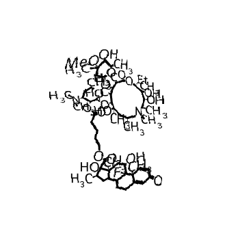 CC[C@H]1OC(=O)[C@H](C)[C@@H](O[C@@H]2C[C@](C)(OC)[C@H](O)C(C)O2)[C@H](C)[C@@H](O[C@@H]2O[C@H](C)C[C@@H](N(C)C)[C@H]2OC(=O)CCCCOC(=O)[C@@]2(O)[C@H](C)CC3C4CCC5=CC(=O)C=C[C@]5(C)[C@@]4(F)[C@@H](O)C[C@@]32C)[C@](C)(O)C[C@@H](C)CN(C)[C@H](C)[C@@H](O)[C@]1(C)O